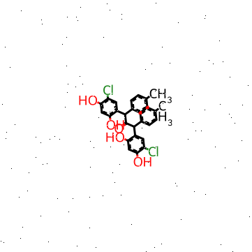 Cc1ccc(C(C(=O)C(c2ccc(C)cc2)c2cc(Cl)c(O)cc2O)c2cc(Cl)c(O)cc2O)cc1